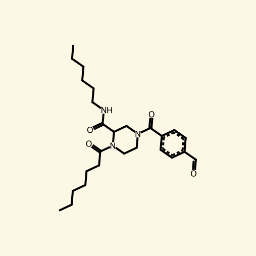 CCCCCCNC(=O)C1CN(C(=O)c2ccc(C=O)cc2)CCN1C(=O)CCCCCC